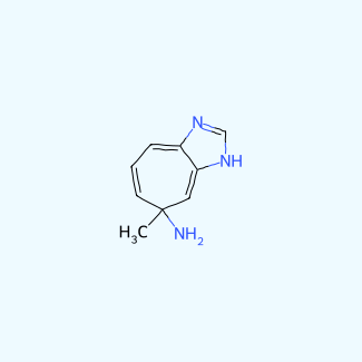 CC1(N)C=CC=c2nc[nH]c2=C1